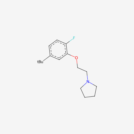 CC(C)(C)c1ccc(F)c(OCCN2CCCC2)c1